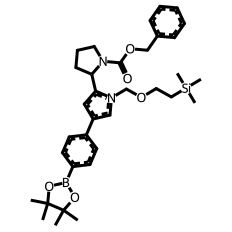 CC1(C)OB(c2ccc(-c3cc(C4CCCN4C(=O)OCc4ccccc4)n(COCC[Si](C)(C)C)c3)cc2)OC1(C)C